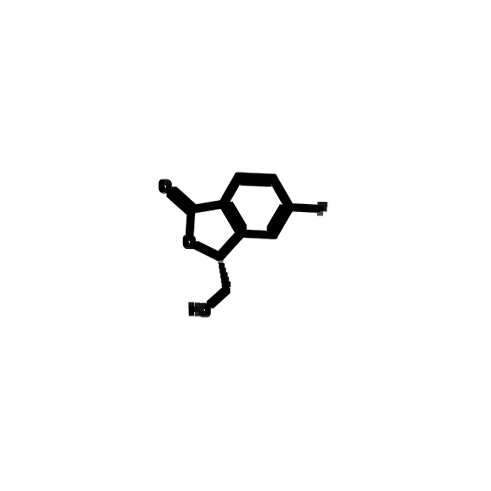 O=C1O[C@@H](CO)c2cc(F)ccc21